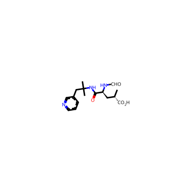 C[C@@H](C[C@H](NC=O)C(=O)NC(C)(C)Cc1cccnc1)C(=O)O